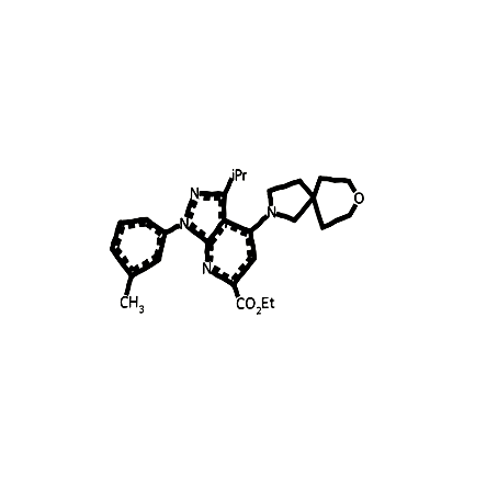 CCOC(=O)c1cc(N2CCC3(CCOCC3)C2)c2c(C(C)C)nn(-c3cccc(C)c3)c2n1